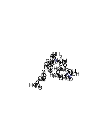 CC(C)(O/N=C(\C(=O)N[C@@H]1C(=O)N2C(C(=O)[O-])=C(C[n+]3ccccc3)CS[C@H]12)c1csc(N)n1)C(=O)O.COc1ccc(C[C@@H](C)NC[C@H](O)c2ccc(O)c(NC=O)c2)cc1.COc1ccc(C[C@@H](C)NC[C@H](O)c2ccc(O)c(NC=O)c2)cc1.O=C(O)/C=C/C(=O)O.O=C(O)/C=C/C(=O)O